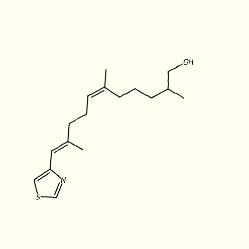 C/C(=C/CC/C(C)=C/c1cscn1)CCCC(C)CO